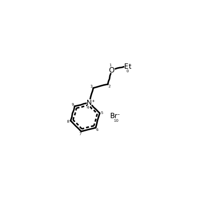 CCOCC[n+]1ccccc1.[Br-]